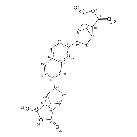 C=C1OC(=O)C2C3CC(CC3c3ccc4ccc(C5CC6CC5C5C(=O)OC(=O)C65)cc4c3)C12